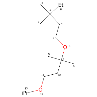 CCC(C)(C)CCOC(C)(C)CCOC(C)C